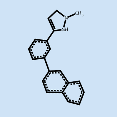 CN1CC=C(c2cccc(-c3ccc4ccccc4c3)c2)N1